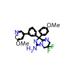 COc1ccc(C2(c3cccc(-c4cncc(OC)c4)c3)N=C(N)N3CC(F)(F)CN=C32)cc1